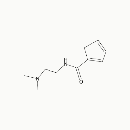 CN(C)CCNC(=O)C1=CC=CC1